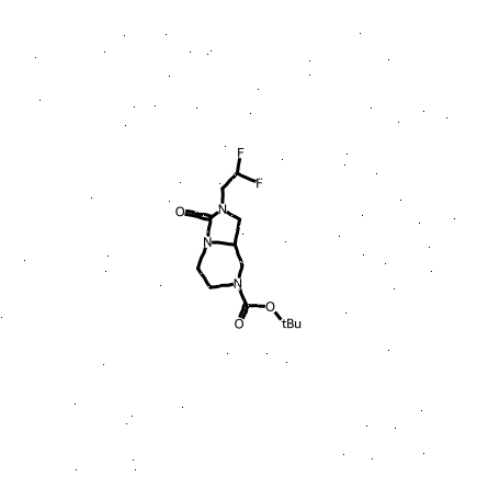 CC(C)(C)OC(=O)N1CCN2C(=O)N(CC(F)F)CC2C1